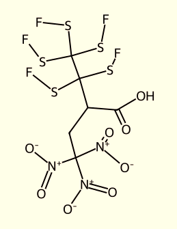 O=C(O)C(CC([N+](=O)[O-])([N+](=O)[O-])[N+](=O)[O-])C(SF)(SF)C(SF)(SF)SF